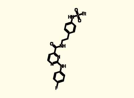 CCS(=O)(=O)Nc1ccc(CCNC(=O)c2ccnc(Nc3ccc(F)cc3)n2)cc1